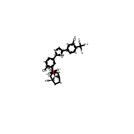 O=S(=O)(c1cc(-c2ncc(-c3ccc(C(F)(F)F)c(Cl)c3)[nH]2)ccc1Cl)N1C2CC[C@@H]1CC(O)C2